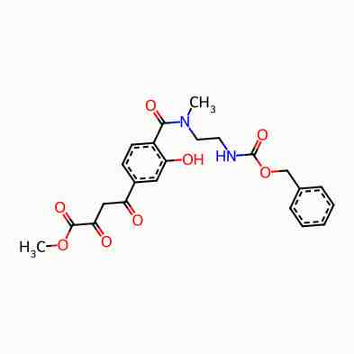 COC(=O)C(=O)CC(=O)c1ccc(C(=O)N(C)CCNC(=O)OCc2ccccc2)c(O)c1